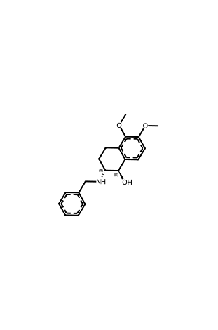 COc1ccc2c(c1OC)CC[C@@H](NCc1ccccc1)[C@@H]2O